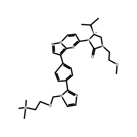 COCCN1C[C@H](C(C)C)N(c2ccn3ncc(-c4ccc(-c5nccn5COCC[Si](C)(C)C)cc4)c3n2)C1=O